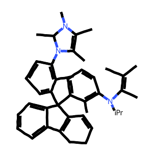 CC(C)=C(C)N(c1cccc(C2(c3cccc(N4C(C)=C(C)N(C)C4C)c3C)C3=C(CCC=C3)c3ccccc32)c1C)C(C)C